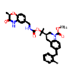 Cc1ccccc1Cc1cccc(CC(CNC(=O)OC(C)(C)C)C(C)(C)OC(=O)NCc2ccc3c(c2)NC(=O)C(C)O3)c1